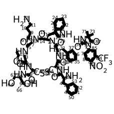 CC(O)[C@@H]1NC(=O)[C@H](CCCCN)NC(=O)[C@@H](Cc2c[nH]c3ccccc23)NC(=O)[C@H](Cc2ccccc2)NC(=O)[C@@H](NC(=O)[C@H](N)Cc2ccccc2)CSSC[C@@H](C(=O)N[C@H](CO)[C@@H](C)O)NC1=O.CC1(C)NC(=O)N(c2ccc([N+](=O)[O-])c(C(F)(F)F)c2)C1=O